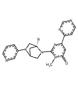 Cn1c(N2CC3C[C@H]2CN3c2cccnc2)nc(-c2ccncn2)cc1=O